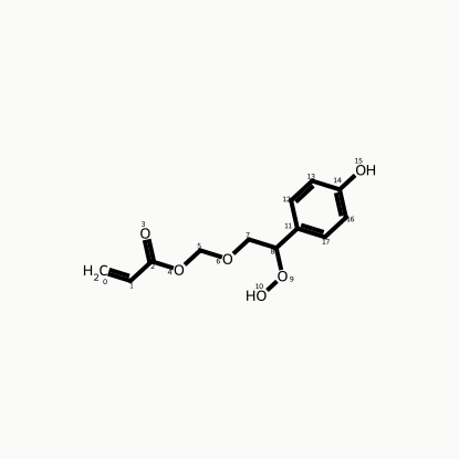 C=CC(=O)OCOCC(OO)c1ccc(O)cc1